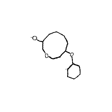 [O]C1CCCCC(OC2[CH]CCCC2)CCOC1